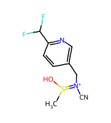 CS(O)=[N+](C#N)Cc1ccc(C(F)F)nc1